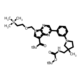 CC1(CNC(=O)OC(C)(C)C)CCN(c2cccc(-c3cnc4c(n3)c(C(=O)C(C)(C)C)cn4COCC[Si](C)(C)C)c2)C1